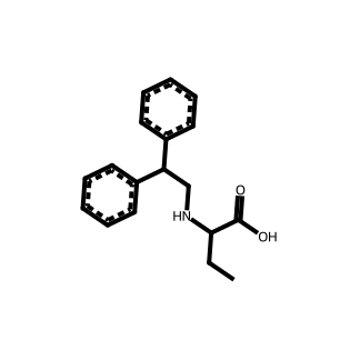 CCC(NCC(c1ccccc1)c1ccccc1)C(=O)O